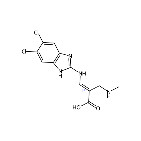 CNC/C(=C\Nc1nc2cc(Cl)c(Cl)cc2[nH]1)C(=O)O